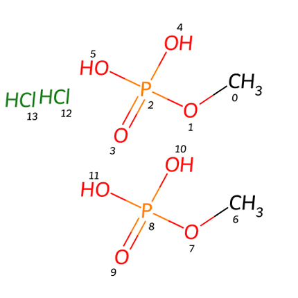 COP(=O)(O)O.COP(=O)(O)O.Cl.Cl